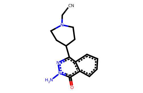 N#CCN1CCC(c2nn(N)c(=O)c3ccccc23)CC1